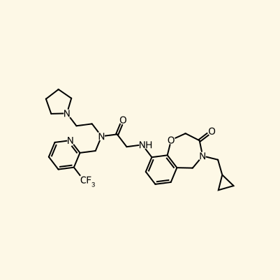 O=C(CNc1cccc2c1OCC(=O)N(CC1CC1)C2)N(CCN1CCCC1)Cc1ncccc1C(F)(F)F